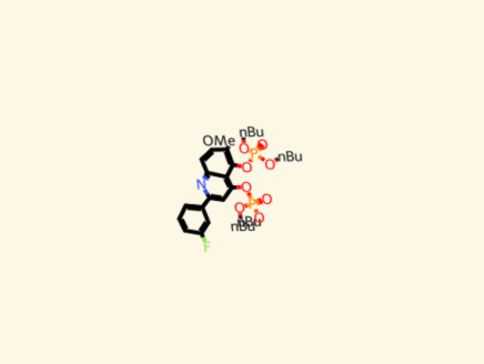 CCCCOP(=O)(OCCCC)Oc1cc(-c2cccc(F)c2)nc2ccc(OC)c(OP(=O)(OCCCC)OCCCC)c12